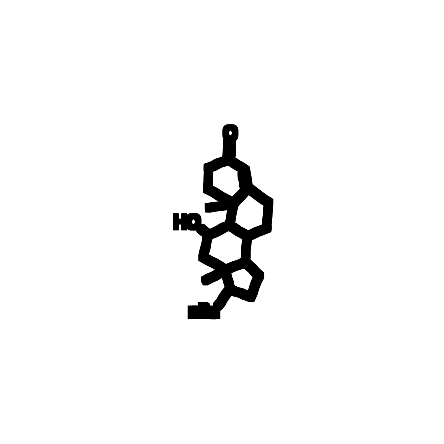 CCCCC1CCC2C3CCC4=CC(=O)CCC4(C)C3C(O)CC12C